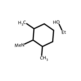 CCO.CNC1C(C)CCCC1C